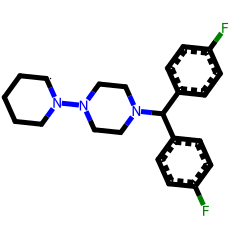 Fc1ccc(C(c2ccc(F)cc2)N2CCN(N3[CH]CCCC3)CC2)cc1